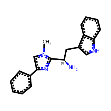 Cn1cc(-c2ccccc2)nc1[C@H](N)Cc1c[nH]c2ccccc12